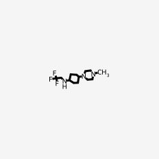 CN1CCN(C2CCC(NCC(F)(F)F)CC2)CC1